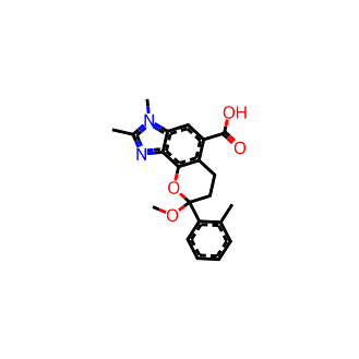 COC1(c2ccccc2C)CCc2c(C(=O)O)cc3c(nc(C)n3C)c2O1